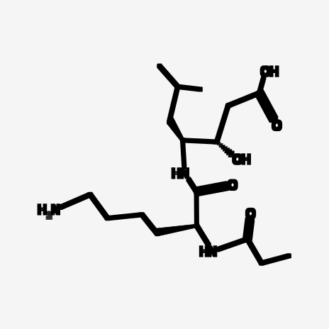 CCC(=O)N[C@@H](CCCCN)C(=O)N[C@@H](CC(C)C)[C@@H](O)CC(=O)O